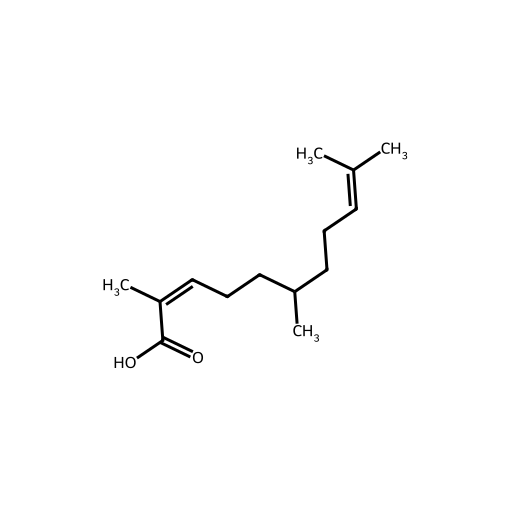 CC(C)=CCCC(C)CCC=C(C)C(=O)O